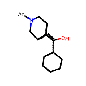 CC(=O)N1CCC(=C(O)C2CCCCC2)CC1